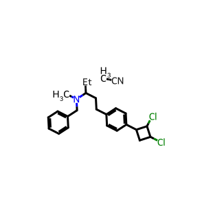 CC#N.CCC(CCc1ccc(C2CC(Cl)C2Cl)cc1)N(C)Cc1ccccc1